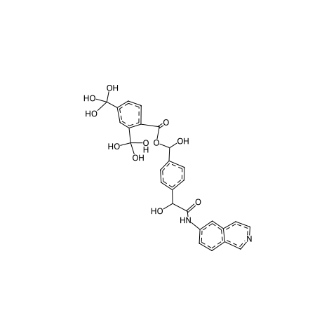 O=C(OC(O)c1ccc(C(O)C(=O)Nc2ccc3cnccc3c2)cc1)c1ccc(C(O)(O)O)cc1C(O)(O)O